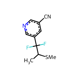 CSC(C)C(F)(F)c1cncc(C#N)c1